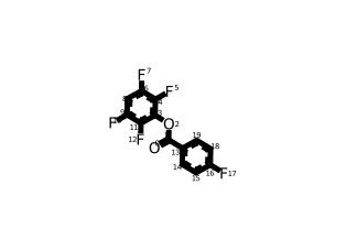 O=C(Oc1c(F)c(F)cc(F)c1F)c1ccc(F)cc1